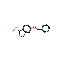 COC1CCc2cc(OCc3ccccc3)ccc21